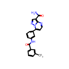 NC(=O)c1cnn2c(-c3cccc(NC(=O)c4cccc(C(F)(F)F)c4)c3)ccnc12